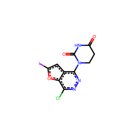 O=C1CCN(c2nnc(Cl)c3oc(I)cc23)C(=O)N1